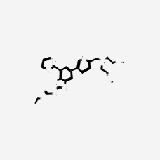 CCOC(=O)Nc1nc2cc(-c3ccc(CN(CCOC)CCOC)nc3)cc(-c3ncccn3)c2[nH]1